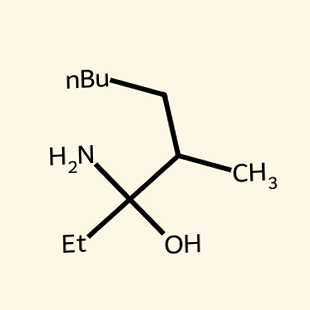 CCCCCC(C)C(N)(O)CC